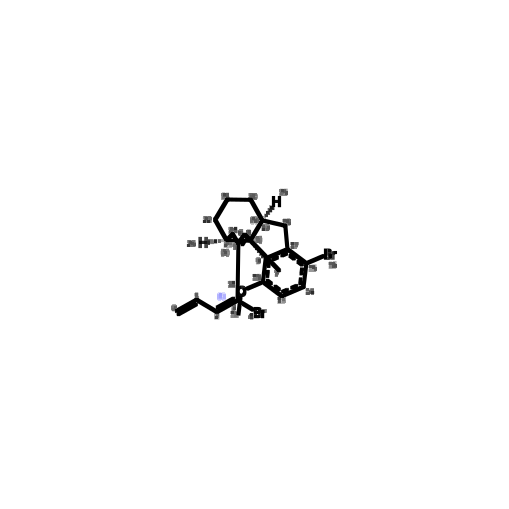 C=C/C=C(/Br)C1=C(C)[C@@]23c4c(OC)ccc(Br)c4C[C@@H]2CCC[C@H]3C1